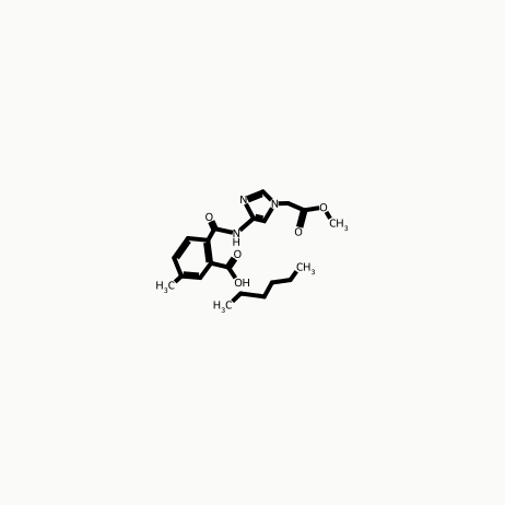 CCCCCC.COC(=O)Cn1cnc(NC(=O)c2ccc(C)cc2C(=O)O)c1